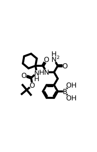 CC(C)(C)OC(=O)NC1(C(=O)NC(Cc2ccccc2B(O)O)C(N)=O)CCCCC1